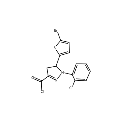 O=C(Cl)C1=NN(c2ccccc2Cl)C(c2ccc(Br)s2)C1